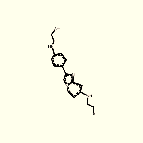 OCCNc1ccc(-c2cn3ccc(NCCF)cc3n2)cc1